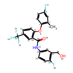 Cc1cc(F)ccc1Oc1ccc(C(F)(F)F)cc1C(=O)Nc1ccc(F)c(CO)c1